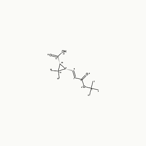 CC(C)(C)OC(=O)C=C[C@H]1[C@@H](C(=O)O)C1(C)C